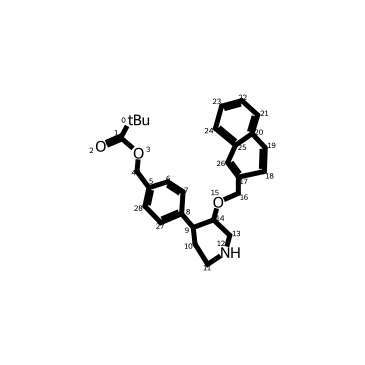 CC(C)(C)C(=O)OCc1ccc(C2CCNCC2OCc2ccc3ccccc3c2)cc1